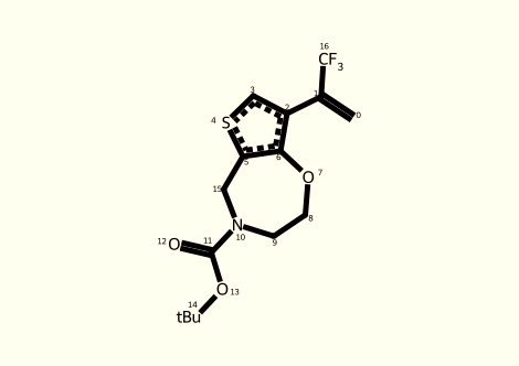 C=C(c1csc2c1OCCN(C(=O)OC(C)(C)C)C2)C(F)(F)F